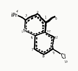 Cc1cc(C(C)C)nc2ccc(Cl)cc12